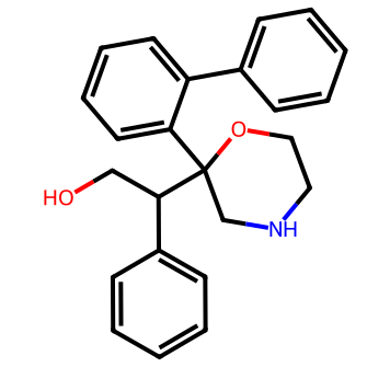 OCC(c1ccccc1)C1(c2ccccc2-c2ccccc2)CNCCO1